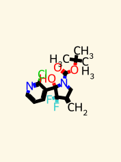 C=C1CN(C(=O)OC(C)(C)C)C(O)(c2cccnc2Cl)C1(F)F